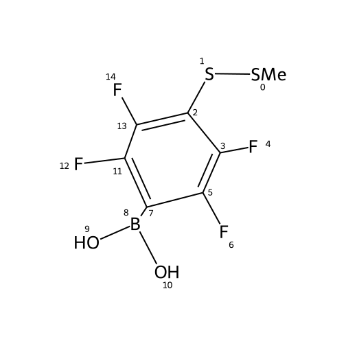 CSSc1c(F)c(F)c(B(O)O)c(F)c1F